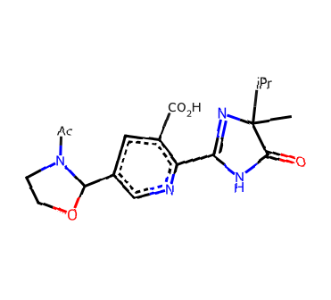 CC(=O)N1CCOC1c1cnc(C2=NC(C)(C(C)C)C(=O)N2)c(C(=O)O)c1